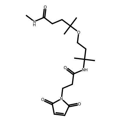 CNC(=O)CCC(C)(C)OCCC(C)(C)NC(=O)CCN1C(=O)C=CC1=O